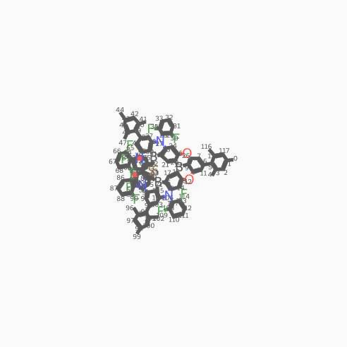 Cc1cc(C)c(-c2cc3c4c(c2)Oc2cc5c(cc2B4c2cc4c(cc2O3)N(c2c(F)cccc2F)c2cc(-c3c(C)cc(C)cc3C)cc3c2B4c2sc4ccc(F)cc4c2N3c2c(F)cccc2F)B2c3sc4ccc(F)cc4c3N(c3c(F)cccc3F)c3cc(-c4c(C)cc(C)cc4C)cc(c32)N5c2c(F)cccc2F)c(C)c1